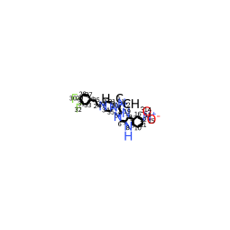 CN(C)C(c1ncc2[nH]c3ccc([N+](=O)[O-])cc3c2n1)N1CCN(CCc2ccc(F)c(F)c2)CC1